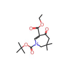 CCOC(=O)C1=CN(C(=O)OC(C)(C)C)CC(C)(C)CC1=O